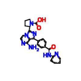 Nc1nccn2c(C3CCCN3C(=O)O)nc(-c3ccc(C(=O)Nc4ccccn4)cc3)c12